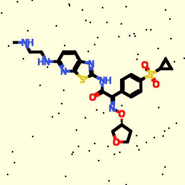 CNCCNc1ccc2nc(NC(=O)/C(=N/O[C@@H]3CCOC3)c3ccc(S(=O)(=O)C4CC4)cc3)sc2n1